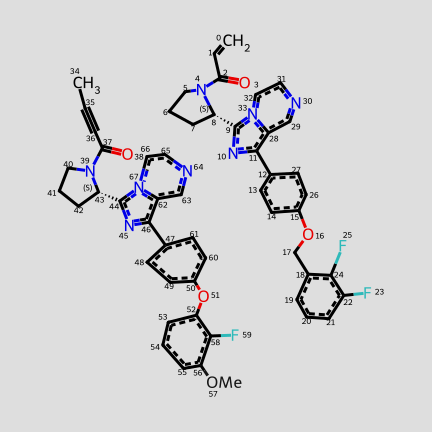 C=CC(=O)N1CCC[C@H]1c1nc(-c2ccc(OCc3cccc(F)c3F)cc2)c2cnccn12.CC#CC(=O)N1CCC[C@H]1c1nc(-c2ccc(Oc3cccc(OC)c3F)cc2)c2cnccn12